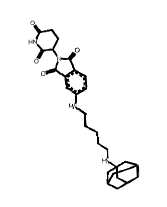 O=C1CCC(N2C(=O)c3ccc(NCCCCCNC45CC6CC(CC(C6)C4)C5)cc3C2=O)C(=O)N1